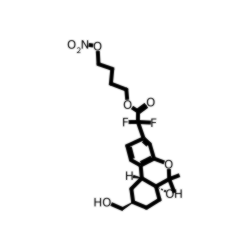 CC1(C)Oc2cc(C(F)(F)C(=O)OCCCCO[N+](=O)[O-])ccc2[C@H]2C[C@H](CO)CC[C@@]21O